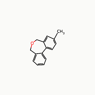 Cc1ccc2c(c1)COCc1ccccc1-2